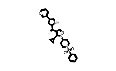 O=C(c1cnn(C2CCN(S(=O)(=O)c3ccccc3)CC2)c1C1CC1)C1CC(c2cccnc2)CN1